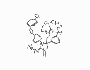 C[C@H]1CN(CCC2(c3cccc(C(F)(F)F)c3)CNC(=NC#N)N2c2ccc(Oc3ccc(Cl)cc3)cc2)CCO1